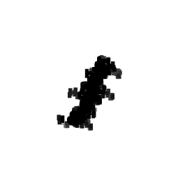 CC(C)(C)OC(=O)Nc1ccc(N2C(=O)C3C(C)(C2=O)C2C(=O)N(c4ccc(NC(=O)OC(C)(C)C)cn4)C(=O)C32C)nc1